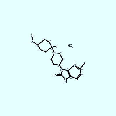 CCOC1CCC(C)(N2CCC(n3c(=O)[nH]c4ccc(C)nc43)CC2)CC1.Cl